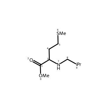 COC(=O)C(CCSC)NCC(C)C